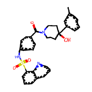 Cc1cccc(C2(O)CCN(C(=O)c3ccc(NS(=O)(=O)c4cccc5cccnc45)cc3)CC2)c1